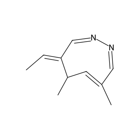 C/C=C1/C=N\N=C/C(C)=C/C1C